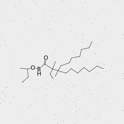 CCCCCCCC(C)(CCCCCCC)C(C)(CC)C(=O)BOC(C)CC